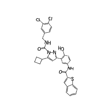 O=C(Nc1ccc(O)c(-c2cc(C3CCC3)n(C(=O)NCc3ccc(Cl)c(Cl)c3)n2)c1)c1cc2ccccc2s1